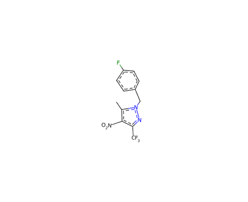 Cc1c([N+](=O)[O-])c(C(F)(F)F)nn1Cc1ccc(F)cc1